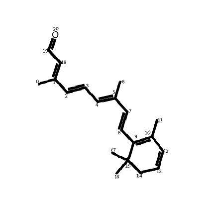 CC(C=CC=C(C)C=CC1=C(C)C=CCC1(C)C)=CC=O